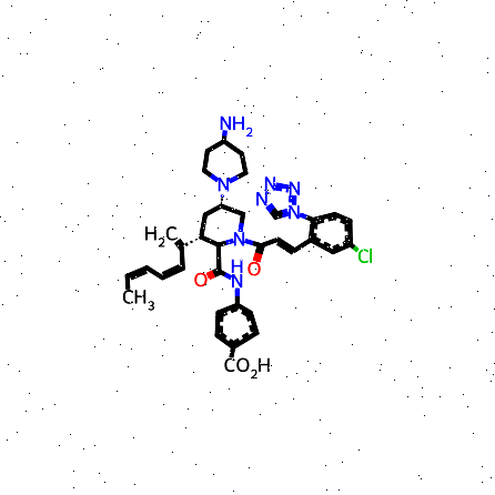 C=C(/C=C\C=C/C)[C@@H]1C[C@H](N2CCC(N)CC2)CN(C(=O)/C=C/c2cc(Cl)ccc2-n2cnnn2)C1C(=O)Nc1ccc(C(=O)O)cc1